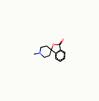 CN1CCC2(CC1)OC(=O)c1ccccc12